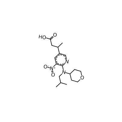 CC(C)CN(c1ncc(C(C)CC(=O)O)cc1[N+](=O)[O-])C1CCOCC1